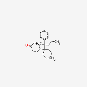 CCCC(C)(c1ccccc1)C1(C2CCC(=O)CC2)CC[SiH2]CC1